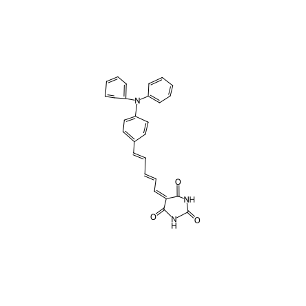 O=C1NC(=O)C(=C/C=C/C=C/c2ccc(N(c3ccccc3)c3ccccc3)cc2)C(=O)N1